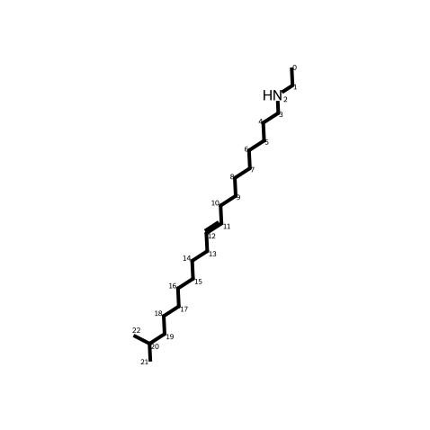 CCNCCCCCCCCC=CCCCCCCCC(C)C